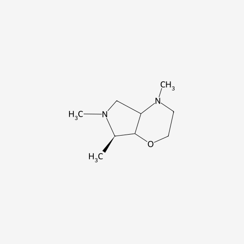 C[C@@H]1C2OCCN(C)C2CN1C